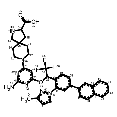 Cc1ccn(-c2cc(-c3ccc4ccccc4c3)ccc2C(Oc2cc(N3CCC4(CC3)CNC(C(=O)O)C4)nc(N)n2)C(F)(F)F)n1